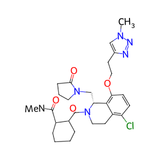 CNC(=O)C1CCCCC1C(=O)N1CCc2c(Cl)ccc(OCCc3cn(C)nn3)c2[C@H]1CN1CCCC1=O